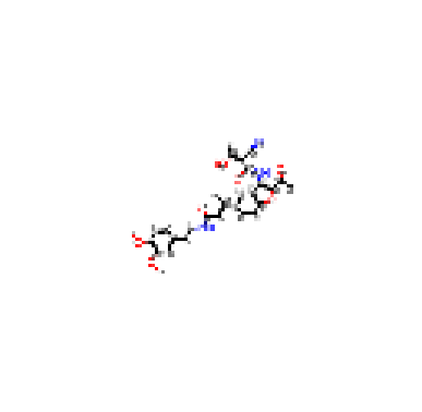 COc1ccc(CCNC(=O)/C=C(\C)c2ccc3oc(C(C)=O)c(NC(=O)/C(C#N)=C(/C)O)c3c2)cc1OC